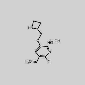 C=Cc1cc(OC[C@@H]2CCN2)cnc1Cl.Cl.Cl